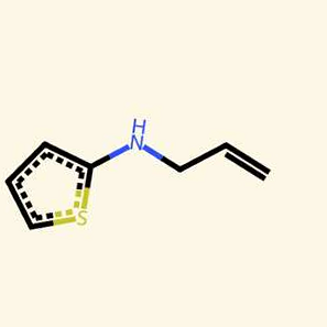 C=CCNc1cccs1